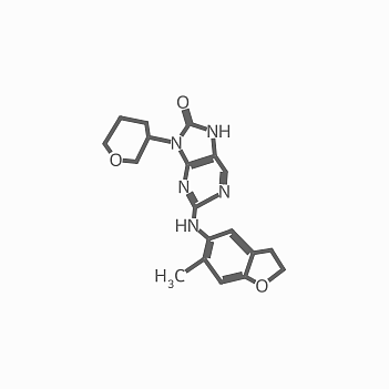 Cc1cc2c(cc1Nc1ncc3[nH]c(=O)n(C4CCCOC4)c3n1)CCO2